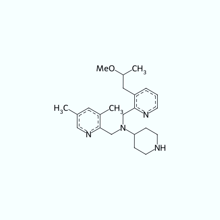 COC(C)Cc1cccnc1CN(Cc1ncc(C)cc1C)C1CCNCC1